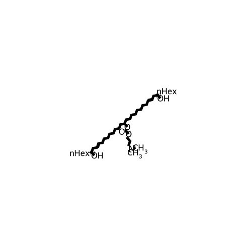 CCCCCC[C@@H](O)CC=CCCCCCCCCC(CCCCCCCCC=CC[C@H](O)CCCCCC)OC(=O)OCCCN(C)C